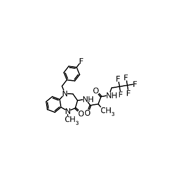 CC(C(=O)NCC(F)(F)C(F)(F)F)C(=O)NC1CN(Cc2ccc(F)cc2)c2ccccc2N(C)C1=O